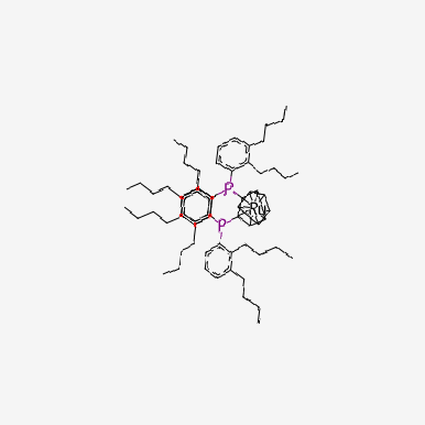 CCCCc1cccc(P(c2cccc(CCCC)c2CCCC)[C]23[CH]4[CH]5[CH]6[C]2(P(c2cccc(CCCC)c2CCCC)c2cccc(CCCC)c2CCCC)[Ru]54632789[CH]3[CH]2[CH]7[CH]8[CH]39)c1CCCC